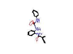 CC(C)C(=O)Nc1ccccc1NC(=O)Nc1ccccc1